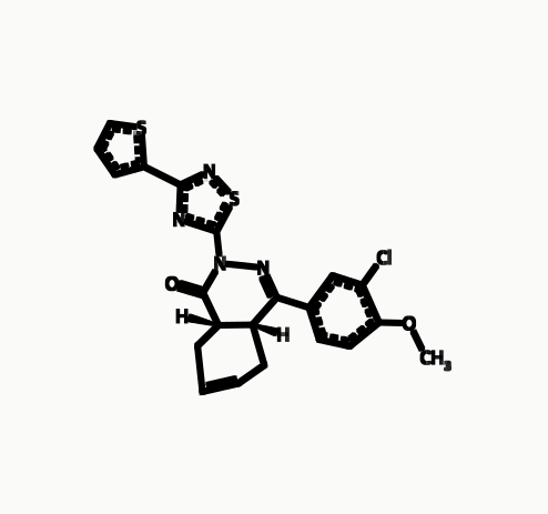 COc1ccc(C2=NN(c3nc(-c4cccs4)ns3)C(=O)[C@H]3CC=CC[C@@H]23)cc1Cl